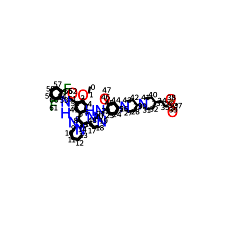 CCOc1ccc(-c2nc3ccccn3c2-c2ccnc(Nc3ccc(N4CCC(N5CCC(CCS(C)(=O)=O)CC5)CC4)cc3OC)n2)cc1C(=O)Nc1c(F)cccc1F